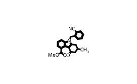 COC(=O)c1cccc2c1c1c(n2Cc2ccccc2C#N)CC(C)CC1=O